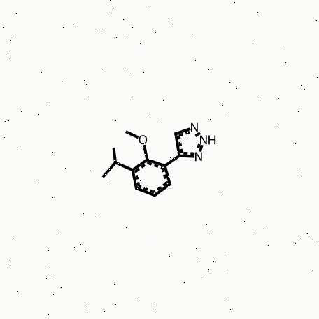 COc1c(-c2cn[nH]n2)cccc1C(C)C